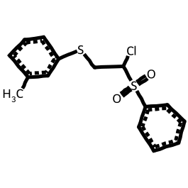 Cc1cccc(SCC(Cl)S(=O)(=O)c2ccccc2)c1